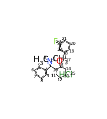 CN(C)C(c1ccccc1)C1CCCCC1OCc1cccc(F)c1.Cl